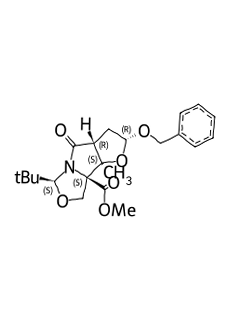 COC(=O)[C@@]12CO[C@@H](C(C)(C)C)N1C(=O)[C@@H]1C[C@H](OCc3ccccc3)O[C@@]12C